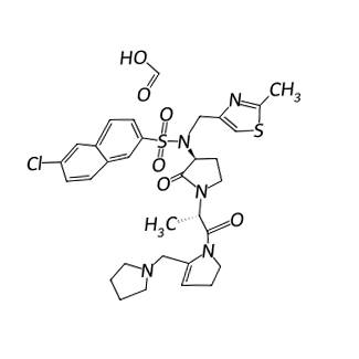 Cc1nc(CN([C@H]2CCN([C@@H](C)C(=O)N3CCC=C3CN3CCCC3)C2=O)S(=O)(=O)c2ccc3cc(Cl)ccc3c2)cs1.O=CO